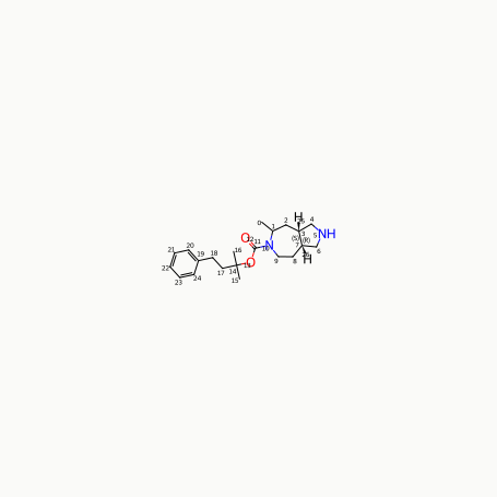 CC1C[C@@H]2CNC[C@@H]2CCN1C(=O)OC(C)(C)CCc1ccccc1